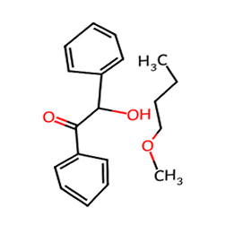 CCCCOC.O=C(c1ccccc1)C(O)c1ccccc1